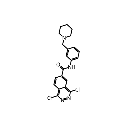 O=C(Nc1cccc(CN2CCCCC2)c1)c1ccc2c(Cl)nnc(Cl)c2c1